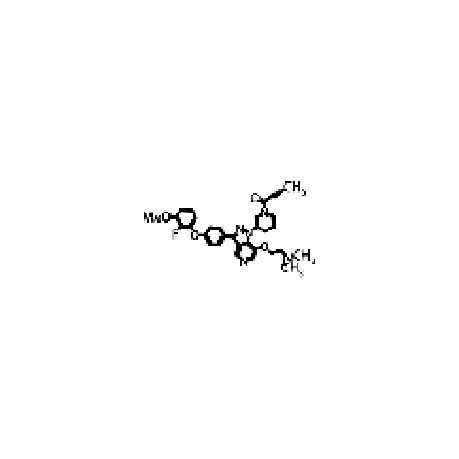 CC#CC(=O)N1CCCC(n2nc(-c3ccc(Oc4cccc(OC)c4F)cc3)c3cncc(OCCN(C)C)c32)C1